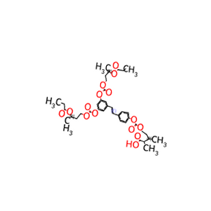 CCC(=O)O[C@H](C)CCOC(=O)Oc1cc(/C=C/c2ccc(OC(=O)OCC[C@@H](C)C(C)C(=O)O)cc2)cc(OC(=O)OCC[C@@H](C)OC(=O)CC)c1